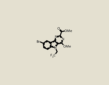 COC(=O)c1nc(OC)c2c(n1)c1cc(Br)ccc1n2CC(F)(F)F